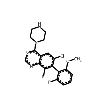 COc1cccc(F)c1-c1c(Cl)cc2c(N3CCNCC3)ncnc2c1F